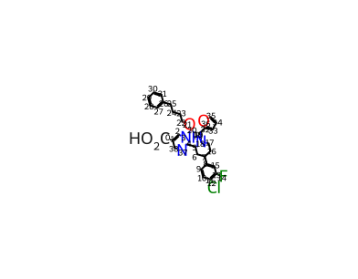 O=C(O)C1=CNC(C2CC(c3ccc(Cl)c(F)c3)CCN2[C@H](COCCCCc2ccccc2)c2ccco2)=NC1